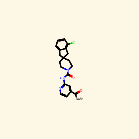 CNC(=O)c1ccnc(NC(=O)N2CCC3(CC2)Cc2cccc(Cl)c2C3)c1